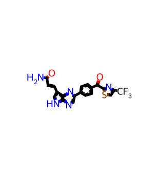 NC(=O)C=Cc1c[nH]c2ncc(-c3ccc(C(=O)c4nc(C(F)(F)F)cs4)cc3)nc12